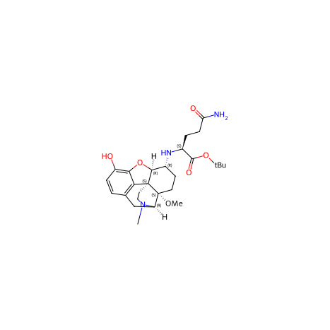 CO[C@@]12CC[C@@H](N[C@@H](CCC(N)=O)C(=O)OC(C)(C)C)[C@@H]3Oc4c(O)ccc5c4[C@@]31CCN(C)[C@@H]2C5